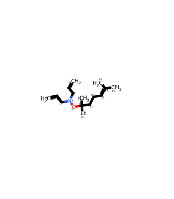 C=CCN(CC=C)OC(C)(CC)CCC=C(C)C